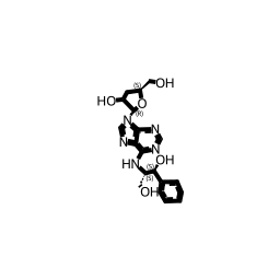 OC[C@@H]1CC(O)[C@H](n2cnc3c(N[C@@H](CO)[C@@H](O)c4ccccc4)ncnc32)O1